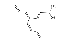 C=C\C=C/C(/C=C/[C@@H](O)C(F)(F)F)=C\C=C